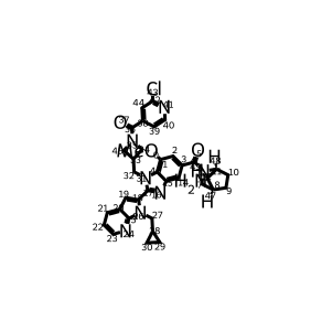 COc1cc(C(=O)N2C[C@H]3CC[C@@H]2[C@@H]3N)cc2nc(-c3cc4cccnc4n3CC3CC3)n(CC3CN(C(=O)c4ccnc(Cl)c4)C3)c12